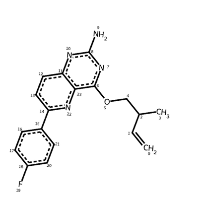 C=CC(C)COc1nc(N)nc2ccc(-c3ccc(F)cc3)nc12